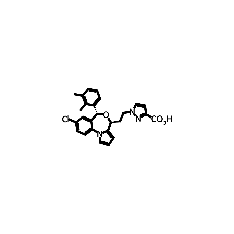 Cc1cccc([C@@H]2O[C@@H](CCn3ccc(C(=O)O)n3)c3cccn3-c3ccc(Cl)cc32)c1C